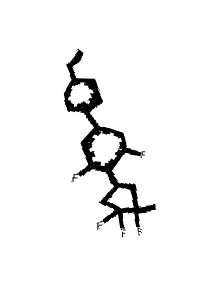 CCc1ccc(-c2cc(F)c(C3CC(C)(F)C(F)(F)C3)c(F)c2)cc1